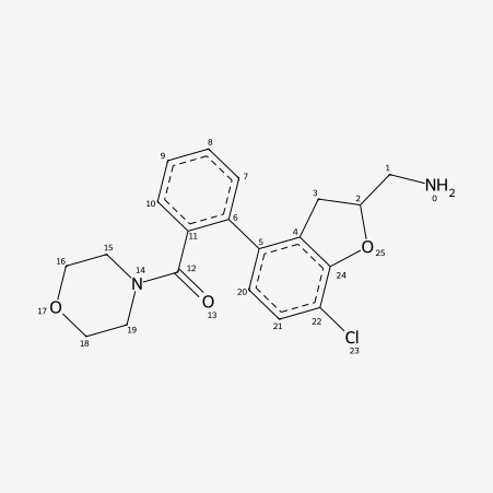 NCC1Cc2c(-c3ccccc3C(=O)N3CCOCC3)ccc(Cl)c2O1